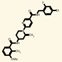 C=C1CC(NC(=O)c2cccc(OC)c2C)CCN1c1ccc(C(=O)NCc2ccc(CC)cc2F)cn1